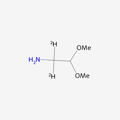 [2H]C([2H])(N)C(OC)OC